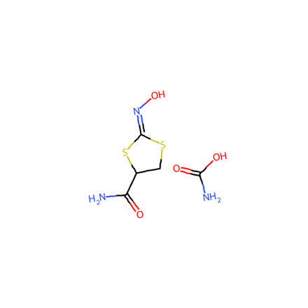 NC(=O)C1CSC(=NO)S1.NC(=O)O